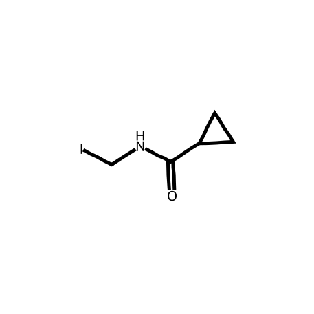 O=C(NCI)C1CC1